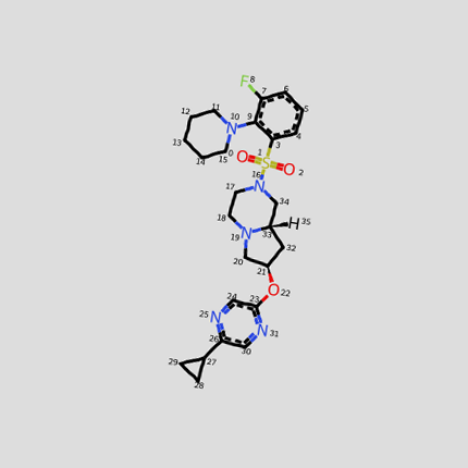 O=S(=O)(c1cccc(F)c1N1CCCCC1)N1CCN2C[C@H](Oc3cnc(C4CC4)cn3)C[C@H]2C1